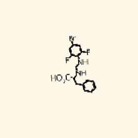 O=C(O)[C@H](Cc1ccccc1)NCNc1c(F)cc(Br)cc1F